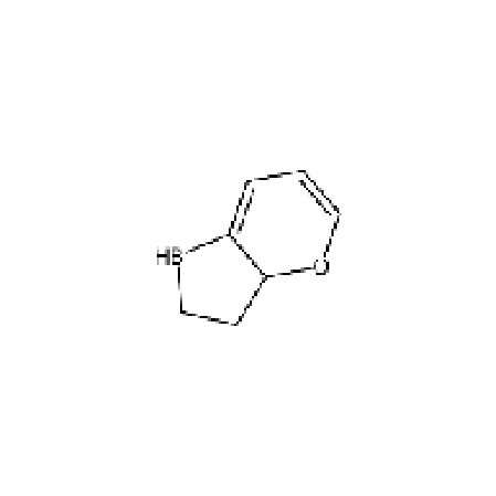 B1CCC2OC=CC=C12